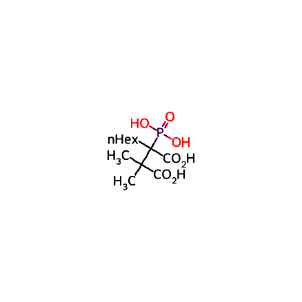 CCCCCCC(C(=O)O)(C(C)(C)C(=O)O)P(=O)(O)O